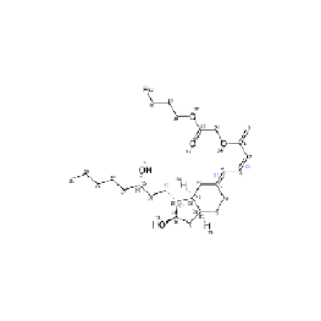 C=C(/C=C\C=C1/CC[C@H]2C[C@@H](O)[C@H](CC[C@@H](O)CCCCC)[C@H]2C1)OCC(=O)OCCCF